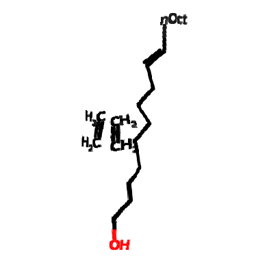 C=C.C=C.CCCCCCCCC=CCCCCCCCCO